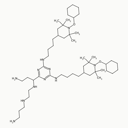 CC1(C)CC(CCCCNc2nc(NCCCCC3CC(C)(C)N(OC4CCCCC4)C(C)(C)C3)nc(C(CCN)NCCNCCCN)n2)CC(C)(C)N1OC1CCCCC1